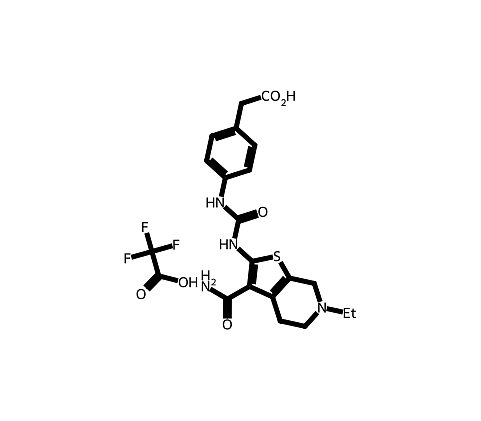 CCN1CCc2c(sc(NC(=O)Nc3ccc(CC(=O)O)cc3)c2C(N)=O)C1.O=C(O)C(F)(F)F